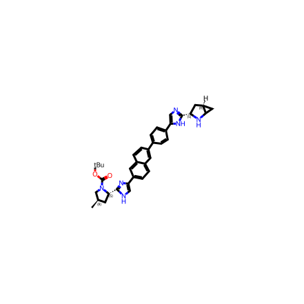 C[C@@H]1C[C@@H](c2nc(-c3ccc4cc(-c5ccc(-c6cnc([C@@H]7C[C@H]8CC8N7)[nH]6)cc5)ccc4c3)c[nH]2)N(C(=O)OC(C)(C)C)C1